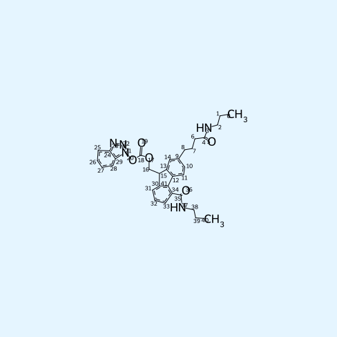 CCCNC(=O)CCCc1ccc2c(c1)C(COC(=O)On1nnc3ccccc31)c1cccc(C(=O)NCCC)c1-2